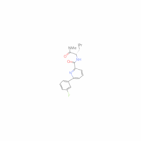 CNC(=O)[C@H](CC(C)C)NC(=O)c1cccc(-c2cccc(F)c2)n1